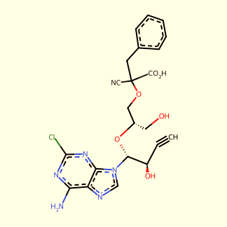 C#C[C@@H](O)[C@@H](O[C@@H](CO)COC(C#N)(Cc1ccccc1)C(=O)O)n1cnc2c(N)nc(Cl)nc21